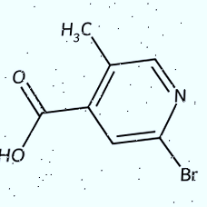 Cc1cnc(Br)cc1C(=O)O